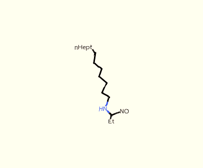 CCCCCCCCCCCCCCNC(CC)N=O